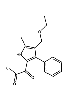 CCOCc1c(C)[nH]c(C(=O)C(=O)Cl)c1-c1ccccc1